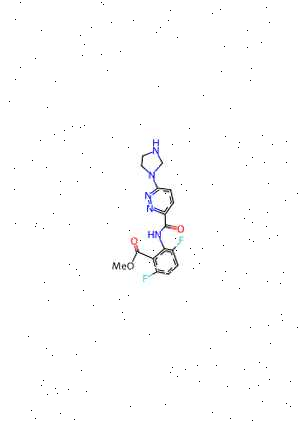 COC(=O)c1c(F)ccc(F)c1NC(=O)c1ccc(N2CCNC2)nn1